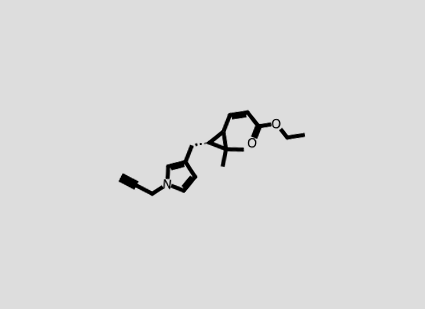 C#CCn1ccc(C[C@@H]2C(/C=C\C(=O)OCC)C2(C)C)c1